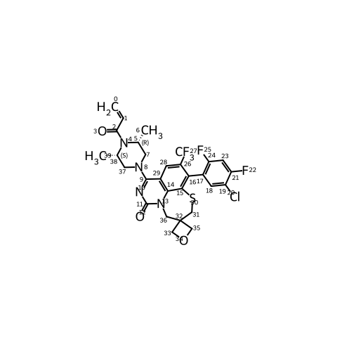 C=CC(=O)N1[C@H](C)CN(c2nc(=O)n3c4c(c(-c5cc(Cl)c(F)cc5F)c(C(F)(F)F)cc24)SCC2(COC2)C3)C[C@@H]1C